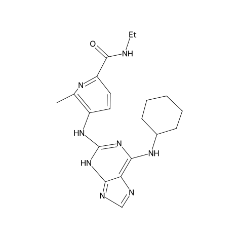 CCNC(=O)c1ccc(Nc2nc(NC3CCCCC3)c3ncnc-3[nH]2)c(C)n1